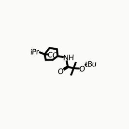 CC(C)C12CCC(NC(=O)C(C)(C)OC(C)(C)C)(CC1)CC2